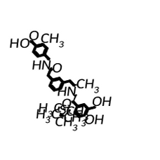 Cc1cc(CNC(=O)Cc2cccc(C[C@@H](C)NC[C@H](O[Si](C)(C)C(C)(C)C)c3ccc(O)c(CO)c3)c2)ccc1C(=O)O